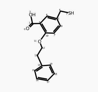 O=C(O)c1cc(CS)ccc1OCCc1ccccc1